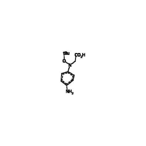 CC(C)(C)ON(CC(=O)O)c1ccc(N)cc1